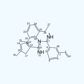 C=Cc1cccc(C(=N)N(C(=N)C2=CC=C(C)C2)c2c(CC)cccc2CC)c1